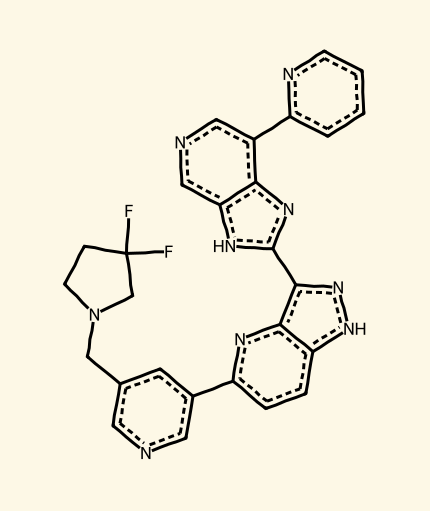 FC1(F)CCN(Cc2cncc(-c3ccc4[nH]nc(-c5nc6c(-c7ccccn7)cncc6[nH]5)c4n3)c2)C1